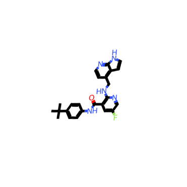 CC(C)(C)c1ccc(NC(=O)c2cc(F)cnc2NCc2ccnc3[nH]ccc23)cc1